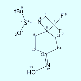 CC(C)(C)[S+]([O-])N1CC(F)(F)C12CCC(=NO)CC2